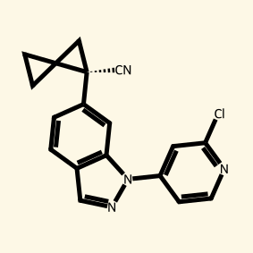 N#C[C@@]1(c2ccc3cnn(-c4ccnc(Cl)c4)c3c2)CC12CC2